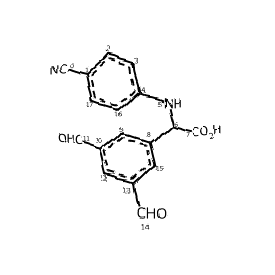 N#Cc1ccc(NC(C(=O)O)c2cc(C=O)cc(C=O)c2)cc1